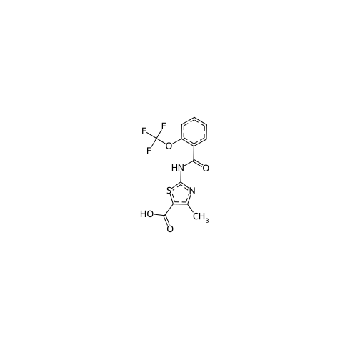 Cc1nc(NC(=O)c2ccccc2OC(F)(F)F)sc1C(=O)O